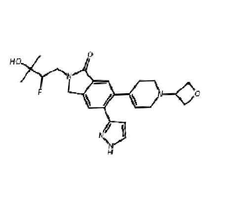 CC(C)(O)C(F)CN1Cc2cc(-c3cc[nH]n3)c(C3=CCN(C4COC4)CC3)cc2C1=O